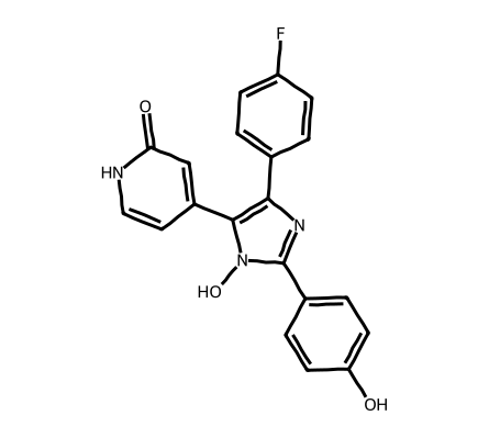 O=c1cc(-c2c(-c3ccc(F)cc3)nc(-c3ccc(O)cc3)n2O)cc[nH]1